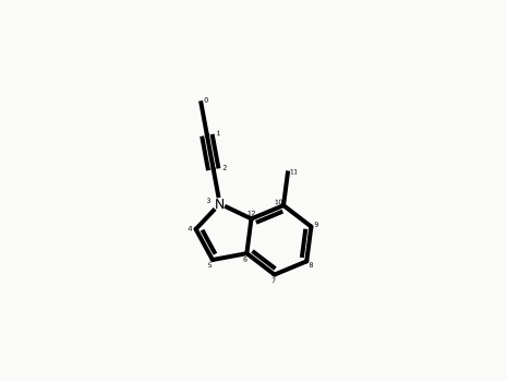 CC#Cn1ccc2cccc(C)c21